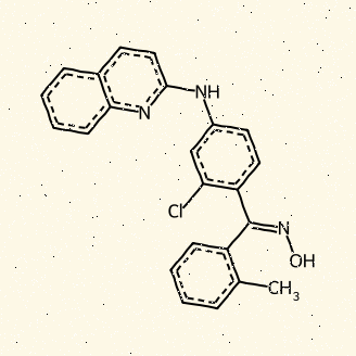 Cc1ccccc1C(=NO)c1ccc(Nc2ccc3ccccc3n2)cc1Cl